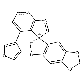 C1=Nc2cccc(-c3ccoc3)c2[C@@]12COc1cc3c(cc12)OCO3